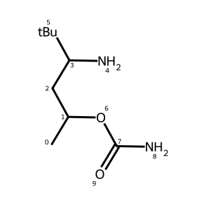 CC(CC(N)C(C)(C)C)OC(N)=O